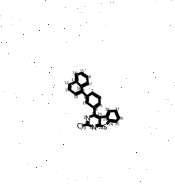 Clc1nc(-c2cccc(-c3cccc4ccccc34)c2)c2c(n1)sc1ccccc12